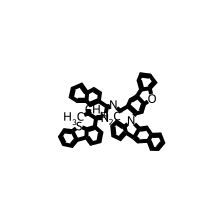 C=C(C)/C(=N\C(=N/C(=C)c1cc2c(cc1-n1c3ccccc3c3cc4ccccc4cc31)oc1ccccc12)c1ccc2ccccc2c1)c1cccc2c1sc1ccccc12